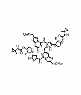 COCc1cn2c(Nc3cc([C@H]4OC[C@@H](OC(=O)NC5(C)CC5)[C@H]4F)[nH]n3)nc(C[n+]3[nH]c([C@@H]4CC[C@H](OC(=O)NC5(C)CC5)[C@@H]4F)cc3Nc3nc(Cl)cc4nc(COC)cn34)cc2n1